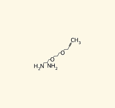 CC#CCCOCCCOCC(N)CN